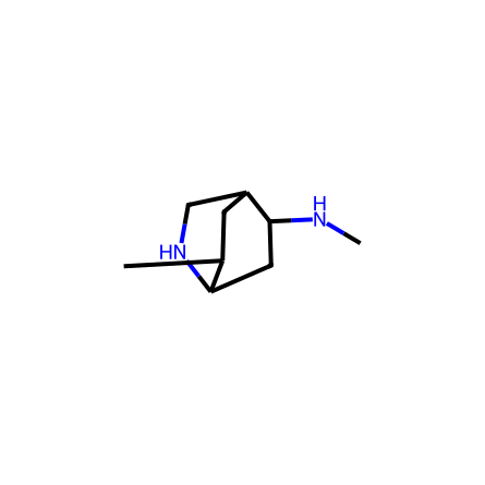 CNC1CC2NCC1CC2C